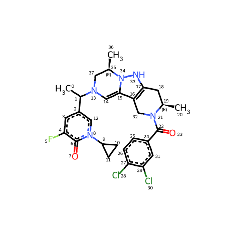 CC(c1cc(F)c(=O)n(C2CC2)c1)N1C=C2C3=C(C[C@@H](C)N(C(=O)c4ccc(Cl)c(Cl)c4)C3)NN2[C@H](C)C1